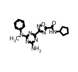 CN(c1ccccc1)c1nc(N)nc(-c2noc(C(=O)NC3CCCC3)n2)n1